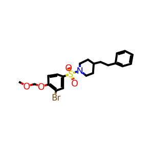 COCOc1ccc(S(=O)(=O)N2CCC(CCc3ccccc3)CC2)cc1Br